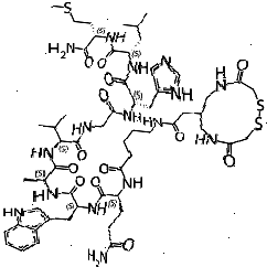 CSCC[C@H](NC(=O)[C@H](CC(C)C)NC(=O)[C@H](Cc1cnc[nH]1)NC(=O)CNC(=O)[C@@H](NC(=O)[C@H](C)NC(=O)[C@H](Cc1c[nH]c2ccccc12)NC(=O)[C@H](CCC(N)=O)NC(=O)CCCCNC(=O)CC1CNC(=O)CSSCC(=O)NC1)C(C)C)C(N)=O